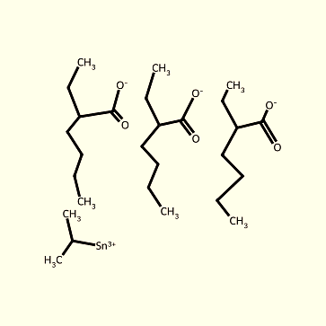 CCCCC(CC)C(=O)[O-].CCCCC(CC)C(=O)[O-].CCCCC(CC)C(=O)[O-].C[CH](C)[Sn+3]